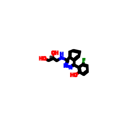 OC[C@H](O)CNc1nnc(-c2c(O)cccc2F)c2ccccc12